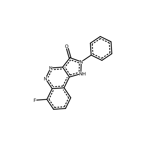 O=c1c2nnc3c(F)cccc3c2[nH]n1-c1ccccc1